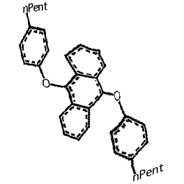 CCCCCc1ccc(Oc2c3ccccc3c(Oc3ccc(CCCCC)cc3)c3ccccc23)cc1